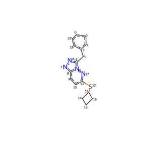 c1ccc(Cc2nnc3ccc(SC4CCC4)nn23)cc1